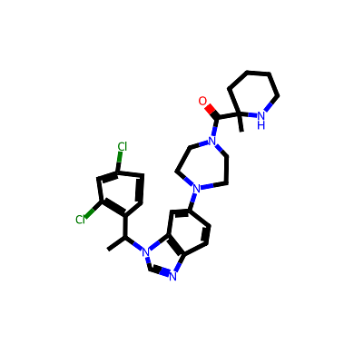 CC(c1ccc(Cl)cc1Cl)n1cnc2ccc(N3CCN(C(=O)C4(C)CCCCN4)CC3)cc21